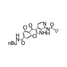 CCCCNC(=O)c1cc(Cl)c(C(=O)c2c[nH]c3c(NC(=O)C4CC4)nccc23)c(Cl)c1